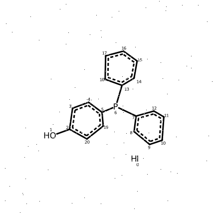 I.Oc1ccc(P(c2ccccc2)c2ccccc2)cc1